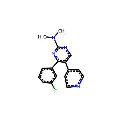 CN(C)c1ncc(-c2ccncc2)c(-c2cccc(F)c2)n1